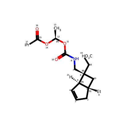 CC[C@@]12CC=C[C@H]1[C@](CNC(=O)O[C@H](C)OC(=O)C(C)C)(CC(=O)O)C2